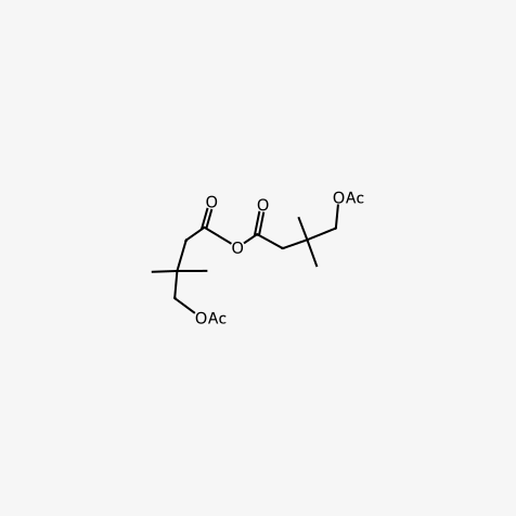 CC(=O)OCC(C)(C)CC(=O)OC(=O)CC(C)(C)COC(C)=O